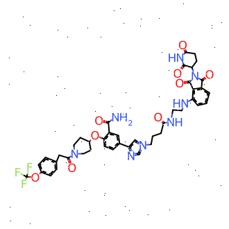 NC(=O)c1cc(-c2cn(CCCC(=O)NCCNc3cccc4c3C(=O)N(C3CCC(=O)NC3=O)C4=O)cn2)ccc1OC1CCN(C(=O)Cc2ccc(OC(F)(F)F)cc2)CC1